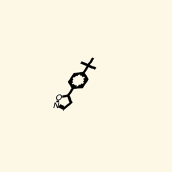 CC(C)(C)c1ccc(C2C[C]=NO2)cc1